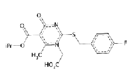 Cc1c(C(=O)OC(C)C)c(=O)nc(SCc2ccc(F)cc2)n1CC(=O)O